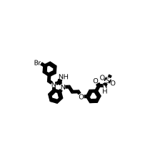 CS(=O)(=O)NC(=O)c1cccc(OCCCn2c(=N)n(Cc3cccc(Br)c3)c3ccccc32)c1